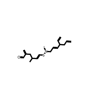 C=CCC(C=C)/C=C/CN(I)S/C=C/C(C)CC(=C)C=O